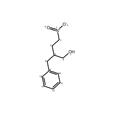 O=[N+]([O-])CCC(CO)Cc1ccccc1